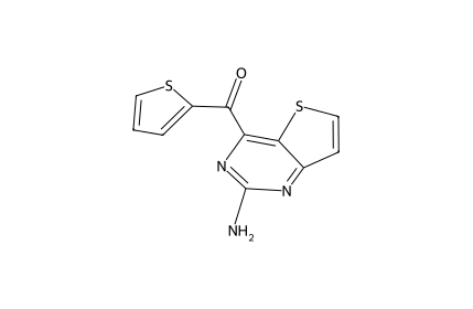 Nc1nc(C(=O)c2cccs2)c2sccc2n1